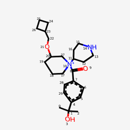 CC(C)(O)c1ccc(C(=O)[N+]2(C3CCNCC3)CCCC(OCC3CCC3)C2)cc1